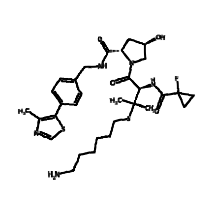 Cc1ncsc1-c1ccc(CNC(=O)[C@@H]2C[C@@H](O)CN2C(=O)[C@@H](NC(=O)C2(F)CC2)C(C)(C)SCCCCCCN)cc1